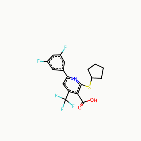 O=C(O)c1c(C(F)(F)F)cc(-c2cc(F)cc(F)c2)nc1SC1CCCC1